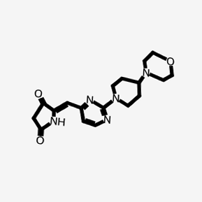 O=C1CC(=O)/C(=C/c2ccnc(N3CCC(N4CCOCC4)CC3)n2)N1